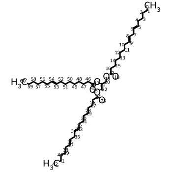 CCCCC/C=C/C/C=C/CCCCCCCC(=O)OCC(COC(=O)CCCCCCC/C=C/CCCCCCCC)OC(=O)CCCCCCC/C=C/CCCCCC